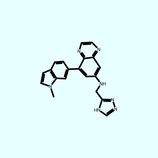 Cn1ccc2ccc(-c3cc(NCc4nnc[nH]4)cc4nccnc34)cc21